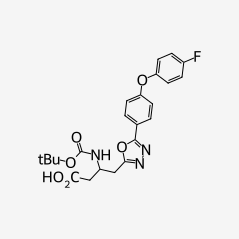 CC(C)(C)OC(=O)NC(CC(=O)O)Cc1nnc(-c2ccc(Oc3ccc(F)cc3)cc2)o1